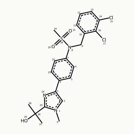 Cn1cc(-c2ccc(N(Cc3cccc(Cl)c3Cl)S(C)(=O)=O)cc2)nc1C(C)(C)O